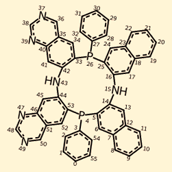 c1ccc(P2c3cc4ccccc4cc3Nc3cc4ccccc4cc3P(c3ccccc3)c3cc4cncnc4cc3Nc3cc4ncncc4cc32)cc1